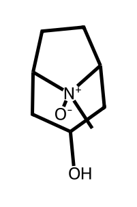 C[N+]1([O-])C2CCC1CC(O)C2